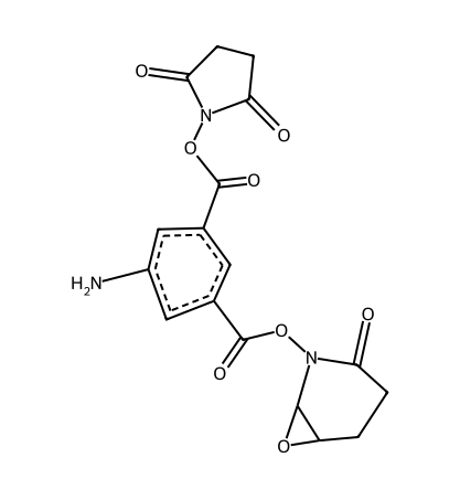 Nc1cc(C(=O)ON2C(=O)CCC2=O)cc(C(=O)ON2C(=O)CCC3OC32)c1